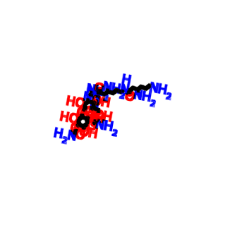 NCCCC(N)CC(=O)NCCCC(N)CC(=O)NC(N)=NC1C(O)C(CO)OC(OC2C(O)C(OC(N)=O)C(O)C(OC(N)=O)C2O)C1O